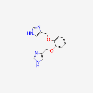 c1ccc(OCc2c[nH]cn2)c(OCc2c[nH]cn2)c1